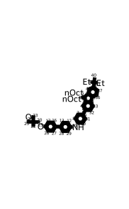 CCCCCCCCC1(CCCCCCCC)c2cc(-c3ccc(Nc4ccc(-c5ccc(OCC6(C)COC6)cc5)cc4)cc3)ccc2-c2ccc(C(C)(CC)CC)cc21